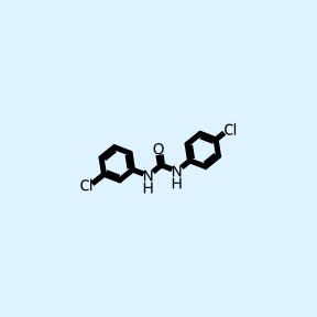 O=C(Nc1ccc(Cl)cc1)Nc1cccc(Cl)c1